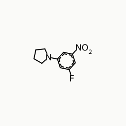 O=[N+]([O-])c1cc(F)cc(N2CCCC2)c1